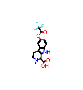 CN1CCc2c([nH]c3ccc(OC(=O)C(F)(F)F)cc23)C1C(=O)O